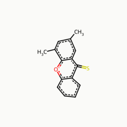 Cc1cc(C)c2oc3ccccc3c(=S)c2c1